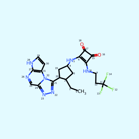 CCC1CC(Nc2c(NCCC(F)(F)F)c(=O)c2=O)CC1c1nnc2cnc3[nH]ccc3n12